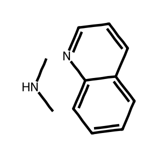 CNC.c1ccc2ncccc2c1